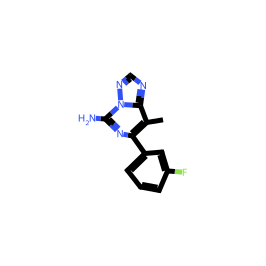 Cc1c(-c2cccc(F)c2)nc(N)n2ncnc12